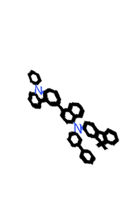 CC1(C)C2=C(C=CCC2)C2=CCC(N(C3CCCC(C4C=CC=CC4)C3)C3CC=C(C4=CC5=C(CC=C4)N(C4CCCCC4)C4C=CC=CC54)C4CCC=CC43)CC21